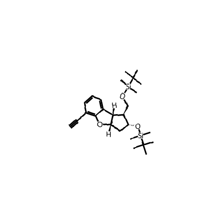 C#Cc1cccc2c1O[C@H]1C[C@@H](O[Si](C)(C)C(C)(C)C)[C@H](CO[Si](C)(C)C(C)(C)C)[C@@H]21